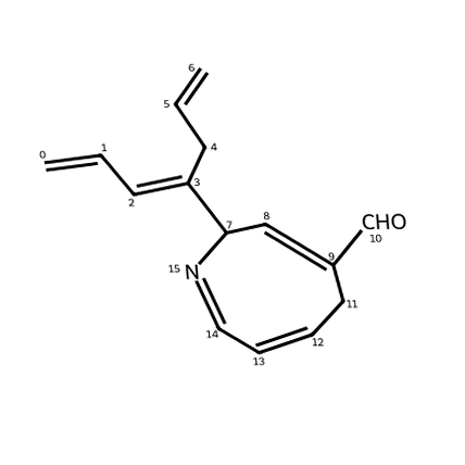 C=C/C=C(\CC=C)C1C=C(C=O)C/C=C\C=N/1